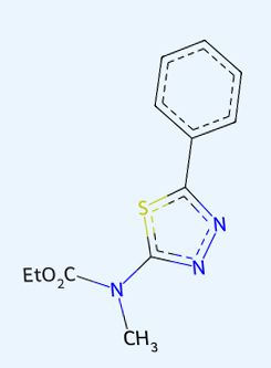 CCOC(=O)N(C)c1nnc(-c2ccccc2)s1